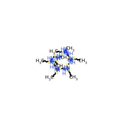 CCCCCSc1nc(NC)nc(NCCSc2nc(NCCSc3nc(NCCSc4nc(NCCSc5nc(NCCSc6nc(NC)nc(SCCCCC)n6)nc(SCCCCC)n5)nc(SCCCCC)n4)nc(SCCCCC)n3)nc(SCCCCC)n2)n1